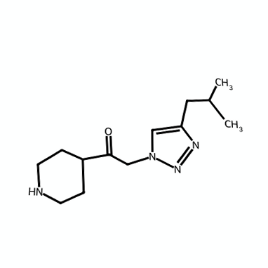 CC(C)Cc1cn(CC(=O)C2CCNCC2)nn1